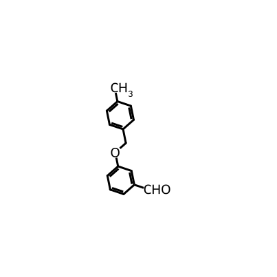 Cc1ccc(COc2cccc(C=O)c2)cc1